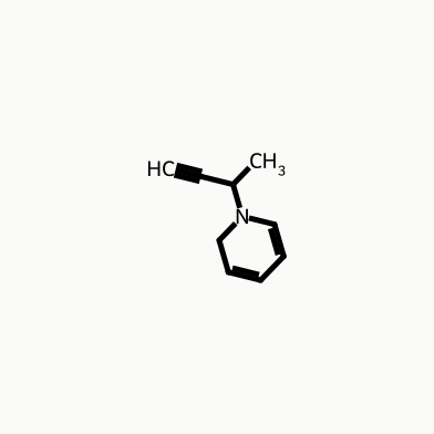 C#CC(C)N1C=CC=CC1